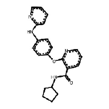 O=C(NC1CCCC1)c1cccnc1Oc1ccc(Nc2ccccn2)cc1